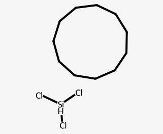 C1CCCCCCCCCC1.Cl[SiH](Cl)Cl